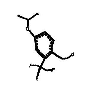 CC(C)Oc1ccc(CCl)c(C(F)(F)F)c1